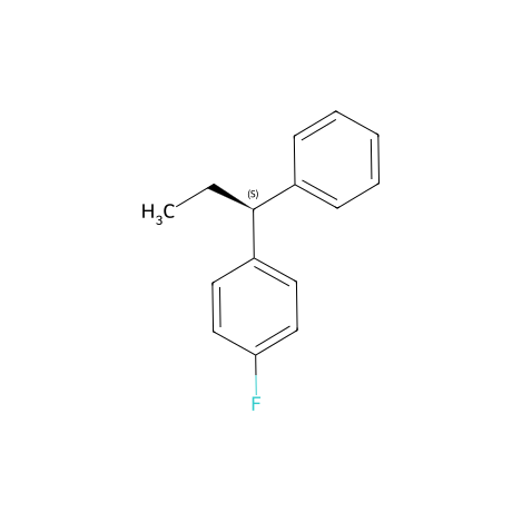 CC[C@@H](c1ccccc1)c1ccc(F)cc1